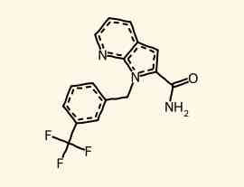 NC(=O)c1cc2cccnc2n1Cc1cccc(C(F)(F)F)c1